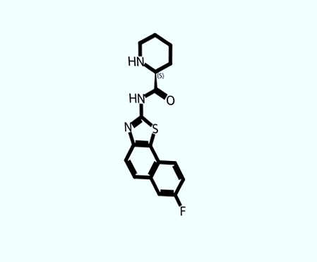 O=C(Nc1nc2ccc3cc(F)ccc3c2s1)[C@@H]1CCCCN1